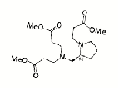 COC(=O)CCN(CCC(=O)OC)C[C@@H]1CCCN1CCC(=O)OC